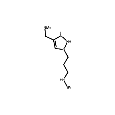 CNCC1=CN(CCCNC(C)C)NN1